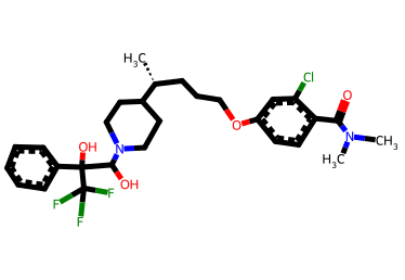 C[C@H](CCCOc1ccc(C(=O)N(C)C)c(Cl)c1)C1CCN(C(O)C(O)(c2ccccc2)C(F)(F)F)CC1